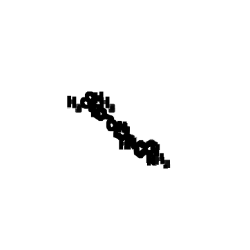 CC(C)(O)CN1CCC(COc2ccc(CNc3ccc4c(N)nccc4c3)cn2)CC1